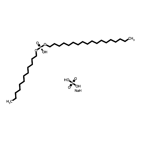 CCCCCCCCCCCCCCCCCCOP(=O)(O)OCCCCCCCCCCCC.O=S(=O)(O)O.[NaH]